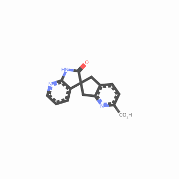 O=C(O)c1ccc2c(n1)CC1(C2)C(=O)Nc2ncccc21